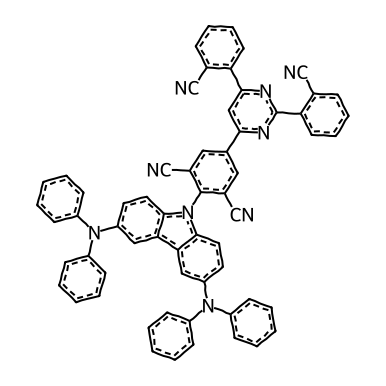 N#Cc1ccccc1-c1cc(-c2cc(C#N)c(-n3c4ccc(N(c5ccccc5)c5ccccc5)cc4c4cc(N(c5ccccc5)c5ccccc5)ccc43)c(C#N)c2)nc(-c2ccccc2C#N)n1